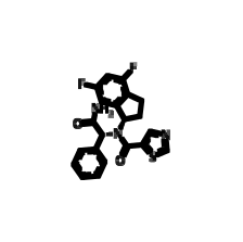 NC(=O)[C@@H](c1ccccc1)N(C(=O)c1cncs1)[C@@H]1CCc2c(F)cc(F)cc21